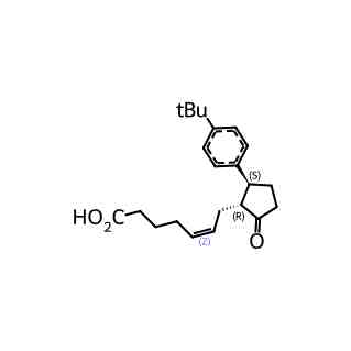 CC(C)(C)c1ccc([C@H]2CCC(=O)[C@@H]2C/C=C\CCCC(=O)O)cc1